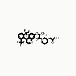 C[C@@H](Oc1ccc2c(-c3c(C(F)(F)F)cccc3C(F)(F)F)ccnc2c1)C(=O)N1CCC[C@H](CC(=O)O)C1